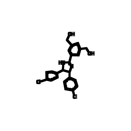 OCc1cc(CO)cc(C2=NC(c3ccc(Cl)cc3)C(c3ccc(Cl)cc3)N2)c1